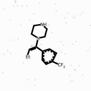 CC/C=C(\c1ccc(C(F)(F)F)cc1)N1CCNCC1